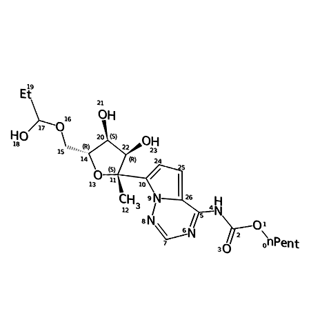 CCCCCOC(=O)Nc1ncnn2c([C@]3(C)O[C@H](COC(O)CC)[C@@H](O)[C@H]3O)ccc12